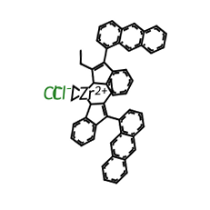 CCC1=C(c2cccc3cc4ccccc4cc23)c2ccccc2[CH]1[Zr+2]1([CH]2C(CC)=C(c3cccc4cc5ccccc5cc34)c3ccccc32)[CH2][CH2]1.[Cl-].[Cl-]